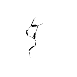 CCOC(=O)c1cc(/C=C/OC)ccc1C(C)C